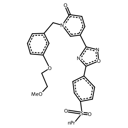 CCCS(=O)(=O)c1ccc(-c2nc(-c3ccc(=O)n(Cc4cccc(OCCOC)c4)c3)no2)cc1